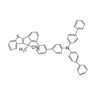 CC1(C)c2c(-c3cccc(-c4ccc(N(c5ccc(-c6ccccc6)cc5)c5ccc(-c6ccccc6)cc5)cc4)c3)cccc2-c2sc3ccccc3c21